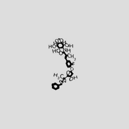 C/C(=C\c1ccc(O[C@H]2C[C@H](O)[C@@H](/C(C)=N/OCc3ccccc3)O2)c(F)c1)C(=O)N[C@@H]1[C@H](O)[C@@H](O)[C@H]2OCO[C@H]2[C@@H]1O